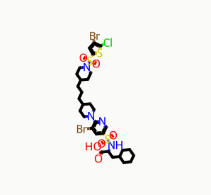 O=C(O)C(CC1CCCCC1)NS(=O)(=O)c1cnc(N2CCC(CCCC3CCN(S(=O)(=O)c4cc(Br)c(Cl)s4)CC3)CC2)c(Br)c1